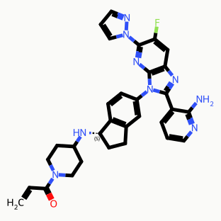 C=CC(=O)N1CCC(N[C@H]2CCc3cc(-n4c(-c5cccnc5N)nc5cc(F)c(-n6cccn6)nc54)ccc32)CC1